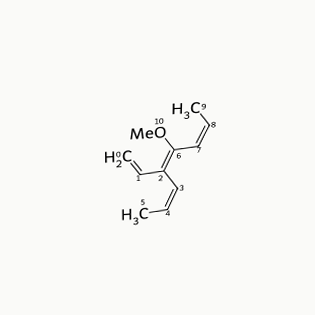 C=CC(/C=C\C)=C(/C=C\C)OC